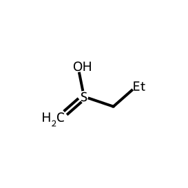 C=S(O)CCC